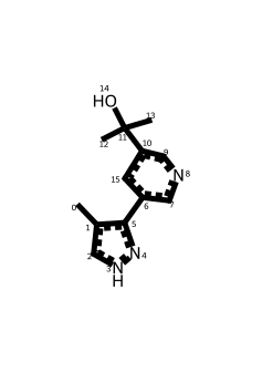 Cc1c[nH]nc1-c1cncc(C(C)(C)O)c1